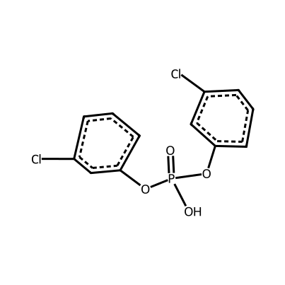 O=P(O)(Oc1cccc(Cl)c1)Oc1cccc(Cl)c1